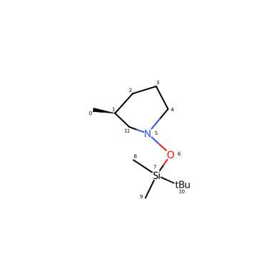 C[C@H]1CCCN(O[Si](C)(C)C(C)(C)C)C1